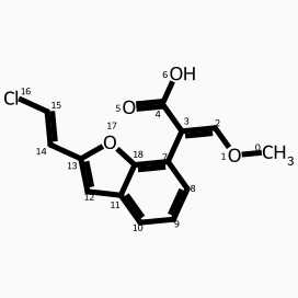 CO/C=C(/C(=O)O)c1cccc2cc(C=CCl)oc12